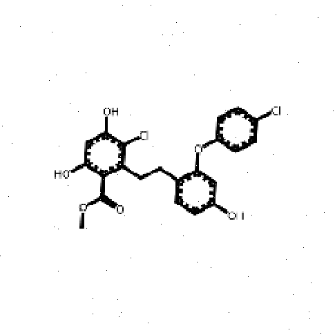 COC(=O)c1c(O)cc(O)c(Cl)c1CCc1ccc(O)cc1Oc1ccc(Cl)cc1